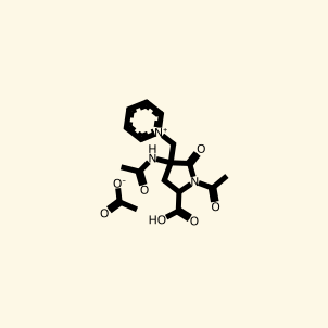 CC(=O)NC1(C[n+]2ccccc2)CC(C(=O)O)N(C(C)=O)C1=O.CC(=O)[O-]